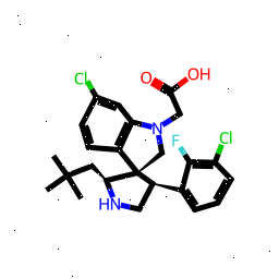 CC(C)(C)C[C@@H]1NC[C@H](c2cccc(Cl)c2F)[C@]12CN(CC(=O)O)c1cc(Cl)ccc12